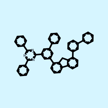 c1ccc(-c2cccc(-c3cccc4c3Cc3c(-c5cc(-c6ccccc6)cc(-c6nc(-c7ccccc7)nc(-c7ccccc7)n6)c5)cccc3-4)c2)cc1